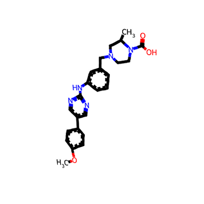 COc1ccc(-c2cnc(Nc3cccc(CN4CCN(C(=O)O)C(C)C4)c3)nc2)cc1